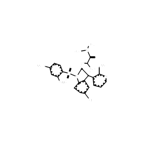 CCC(N[C@@]1(c2cccnc2OC)C(=O)N(S(=O)(=O)c2ccc(OC)cc2OC)c2ccc(Cl)cc21)C(=O)N(C)C